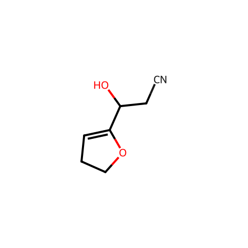 N#CCC(O)C1=CCCO1